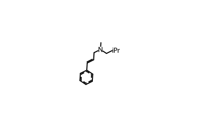 CC(C)CN(C)C/C=C/c1ccccc1